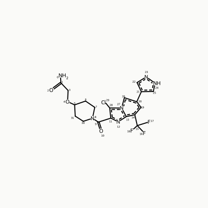 NC(=O)COC1CCN(C(=O)c2nc3c(C(F)(F)F)cc(-c4cn[nH]c4)cn3c2Cl)CC1